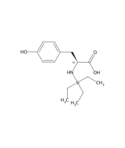 CC[Si](CC)(CC)N[C@@H](Cc1ccc(O)cc1)C(=O)O